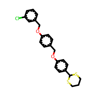 Clc1cccc(COc2ccc(COc3ccc(C4SCCCS4)cc3)cc2)c1